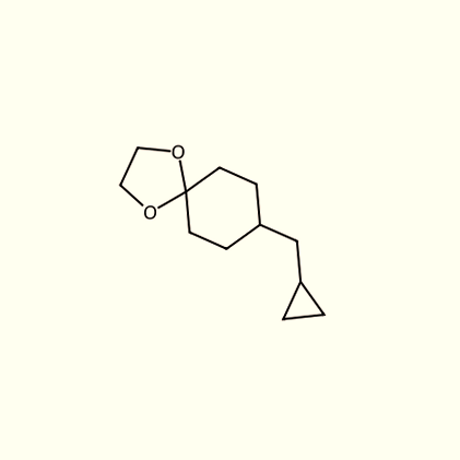 C1COC2(CCC(CC3CC3)CC2)O1